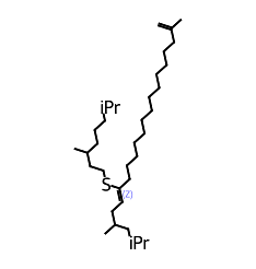 C=C(C)CCCCCCCCCCCCC/C(=C/CC(C)CC(C)C)SCCC(C)CCCC(C)C